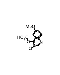 COc1ccc2ncc(Cl)c(OC(=O)O)c2c1